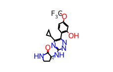 O=C1NCC[C@@H]1Nc1nnc(-c2ccc(OC(F)(F)F)cc2O)c(C2CC2)n1